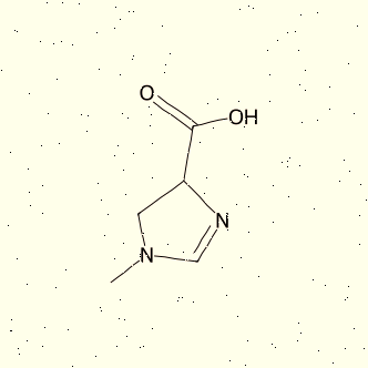 CN1C=NC(C(=O)O)C1